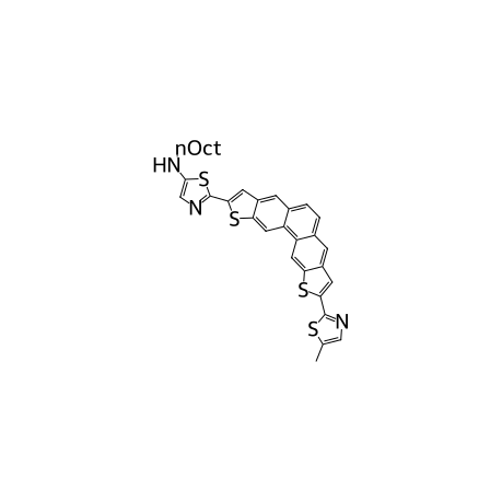 CCCCCCCCNc1cnc(-c2cc3cc4ccc5cc6cc(-c7ncc(C)s7)sc6cc5c4cc3s2)s1